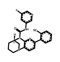 N#Cc1ccccc1-c1ccc2c(n1)N(C(=O)Nc1cncc(F)c1)[C@H]1CCCN2C1